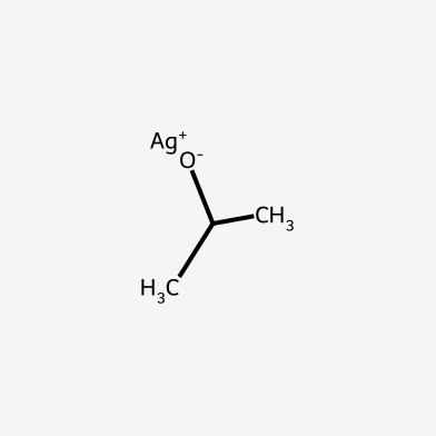 CC(C)[O-].[Ag+]